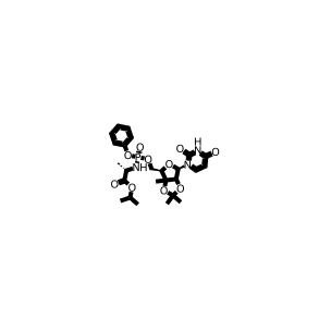 CC(C)OC(=O)[C@H](C)NP(=O)(OC[C@H]1O[C@@H](n2ccc(=O)[nH]c2=O)C2OC(C)(C)OC21C)Oc1ccccc1